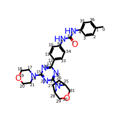 Cc1ccc(NC(=O)Nc2ccc(-c3nc(N4CCOCC4)nc(N4C5CCC4COC5)n3)cc2)cc1